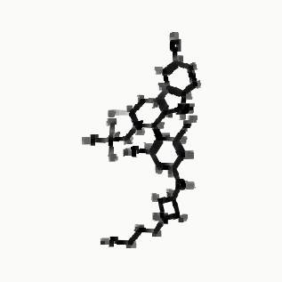 C[C@@H]1Cc2c([nH]c3ccc(Cl)cc23)[C@@H](c2c(F)cc(OC3CN(CCCF)C3)cc2F)N1CC(C)(C)F